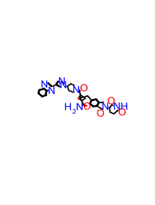 NC(=O)C12CC(C(=O)N3CCC(n4cc(-c5cnc6ccccc6n5)cn4)CC3)(C1)C2Cc1ccc2c(c1)CN(C1CCC(=O)NC1=O)C2=O